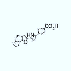 O=C(O)c1ccc(-c2ccc(-c3cc4ccc5c(c4o3)CCC5)[nH]2)cc1